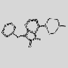 CN1CCN(c2cccc3c2[nH]c(=O)n3Cc2ccccc2)CC1